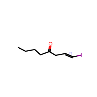 CCCCC(=O)C/C=C/I